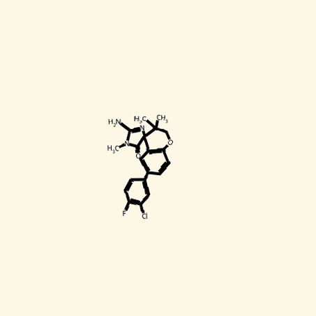 CN1C(=O)C2(N=C1N)c1cc(-c3ccc(F)c(Cl)c3)ccc1OCC2(C)C